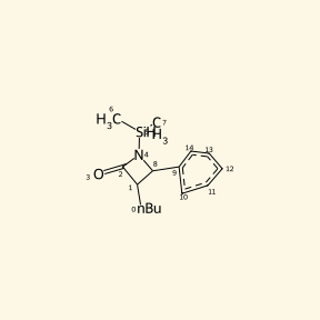 CCCCC1C(=O)N([SiH](C)C)C1c1ccccc1